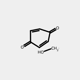 O=C1C=CC(=O)C=C1.[CH2]O